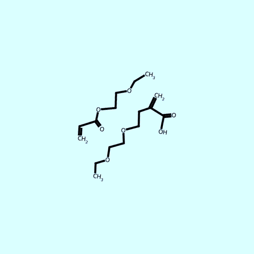 C=C(CCOCCOCC)C(=O)O.C=CC(=O)OCCOCC